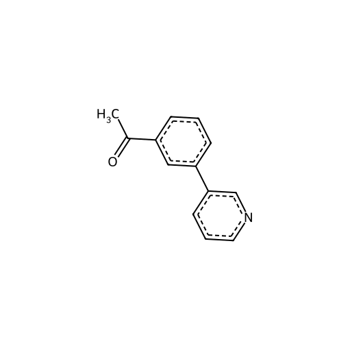 CC(=O)c1cccc(-c2cccnc2)c1